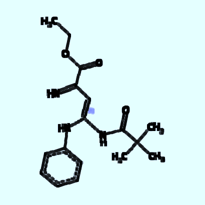 CCOC(=O)C(=N)/C=C(/NC(=O)C(C)(C)C)Nc1ccccc1